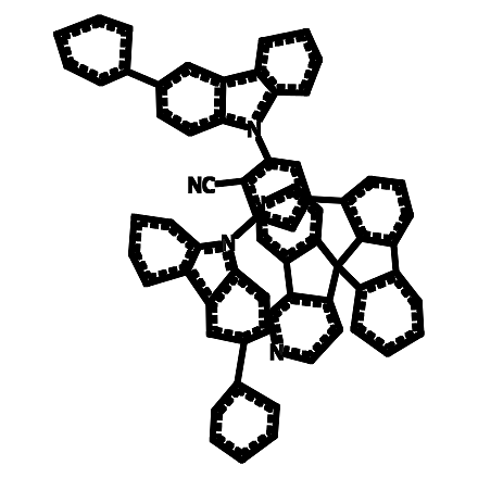 N#Cc1c(-n2c3ccccc3c3cc(-c4ccccc4)ccc32)cc(-c2cccc3c2C2(c4ccncc4-c4cnccc42)c2ccccc2-3)cc1-n1c2ccccc2c2cc(-c3ccccc3)ccc21